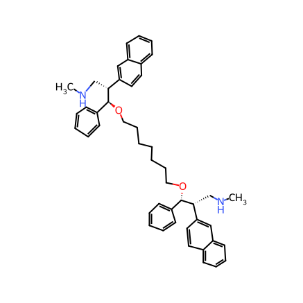 CNC[C@H](c1ccc2ccccc2c1)[C@@H](OCCCCCCCO[C@@H](c1ccccc1)[C@H](CNC)c1ccc2ccccc2c1)c1ccccc1